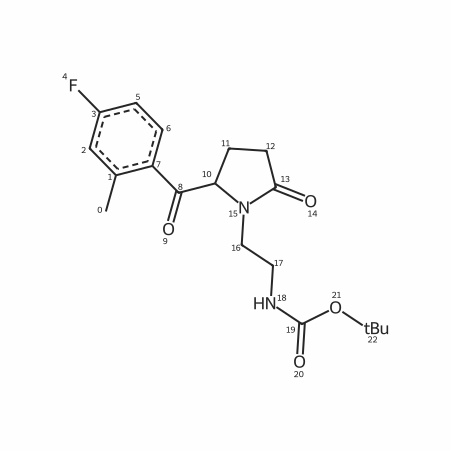 Cc1cc(F)ccc1C(=O)C1CCC(=O)N1CCNC(=O)OC(C)(C)C